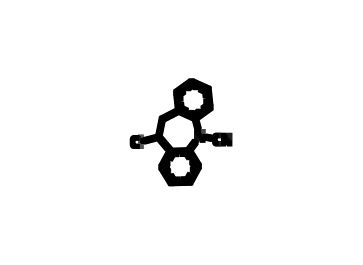 N#CN1c2ccccc2CC(Cl)c2ccccc21